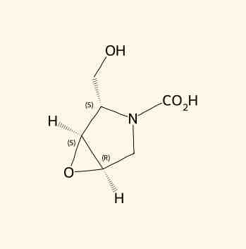 O=C(O)N1C[C@H]2O[C@H]2[C@@H]1CO